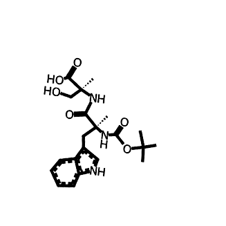 CC(C)(C)OC(=O)N[C@@](C)(Cc1c[nH]c2ccccc12)C(=O)N[C@@](C)(CO)C(=O)O